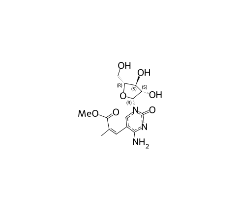 COC(=O)C(C)=Cc1cn([C@@H]2O[C@H](CO)[C@@H](O)[C@@H]2O)c(=O)nc1N